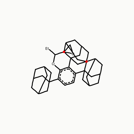 CCC(Oc1c(C23CC4CC(CC(C4)C2)C3)ccc(C23CC4CC(CC(C4)C2)C3)c1C12CC3CC(CC(C3)C1)C2)C1CO1